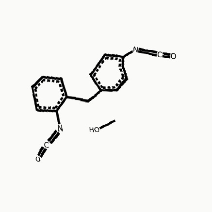 CO.O=C=Nc1ccc(Cc2ccccc2N=C=O)cc1